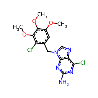 COc1cc(Cn2cnc3c(Cl)nc(N)nc32)c(Cl)c(OC)c1OC